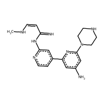 CN/C=C\C(=N)Nc1cc(-c2cc(N)cc(N3CCNCC3)n2)ccn1